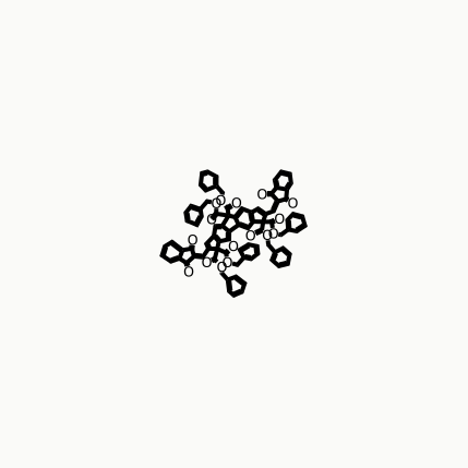 O=C1C(=CC2=Cc3cc4c(cc3C2(C(=O)OCc2ccccc2)C(=O)OCc2ccccc2)-c2cc3c(cc2C4(C(=O)OCc2ccccc2)C(=O)OCc2ccccc2)C=C(C=C2C(=O)c4ccccc4C2=O)C3(C(=O)OCc2ccccc2)C(=O)OCc2ccccc2)C(=O)c2ccccc21